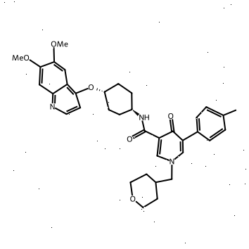 COc1cc2nccc(O[C@H]3CC[C@H](NC(=O)c4cn(CC5CCOCC5)cc(-c5ccc(C)cc5)c4=O)CC3)c2cc1OC